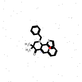 CC1(C)CN(Cc2ccccc2)C(c2cccs2)/C(=C\c2ccccn2)C1=O